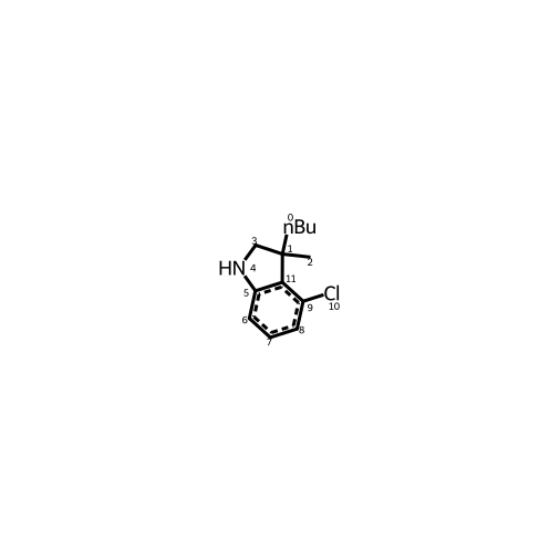 CCCCC1(C)CNc2cccc(Cl)c21